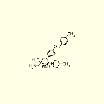 Cc1ccc(COc2ccc(N(CC(C)(C)CN)C(=N)N3CCC(C)CC3)cc2)cc1